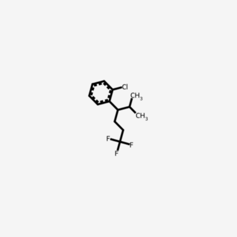 CC(C)C(CCC(F)(F)F)c1ccccc1Cl